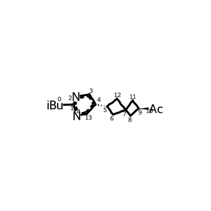 CCC(C)c1ncc([C@H]2CC3(C[C@H](C(C)=O)C3)C2)cn1